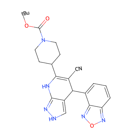 CC(C)(C)OC(=O)N1CCC(C2=C(C#N)C(c3cccc4nonc34)c3c[nH]nc3N2)CC1